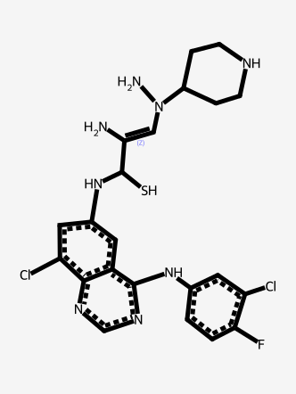 N/C(=C\N(N)C1CCNCC1)C(S)Nc1cc(Cl)c2ncnc(Nc3ccc(F)c(Cl)c3)c2c1